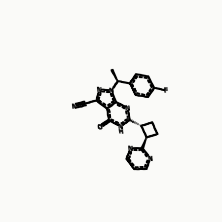 C[C@@H](c1ccc(F)cc1)n1nc(C#N)c2c(=O)[nH]c([C@@H]3CC[C@H]3c3ncccn3)nc21